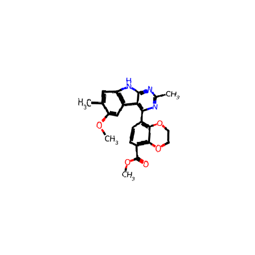 COC(=O)c1ccc(-c2nc(C)nc3[nH]c4cc(C)c(OC)cc4c23)c2c1OCCO2